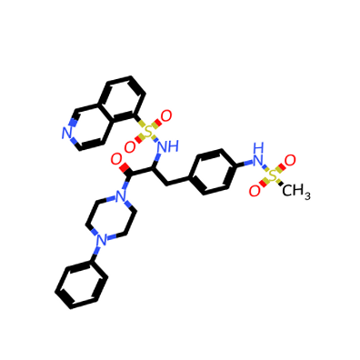 CS(=O)(=O)Nc1ccc(CC(NS(=O)(=O)c2cccc3cnccc23)C(=O)N2CCN(c3ccccc3)CC2)cc1